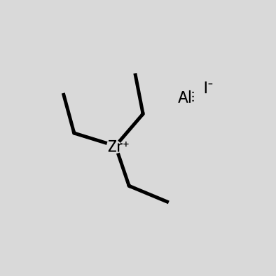 C[CH2][Zr+]([CH2]C)[CH2]C.[Al].[I-]